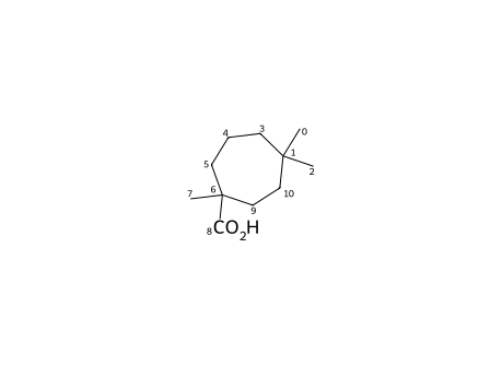 CC1(C)CCCC(C)(C(=O)O)CC1